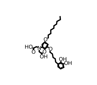 CCCCCCCCCCOc1cc(OCCCCCc2cccc(O)c2O)cc(N(CC(=O)O)CC(=O)O)c1